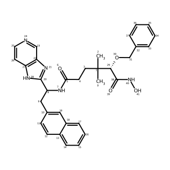 CC(C)(CCC(=O)NC(Cc1ccc2ccccc2c1)c1nc2cnccc2[nH]1)[C@H](OCc1ccccc1)C(=O)NO